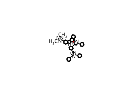 Cc1nc(C)nc(-c2ccc3c(c2)c2ccccc2n3-c2ccc(-c3nc(-c4ccccc4)nc(-c4ccccc4)n3)cc2-c2cc(-c3ccccc3)nc(-c3ccccc3)n2)n1